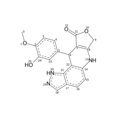 COc1ccc(C2C3=C(COC3=O)Nc3ccc4cn[nH]c4c32)cc1O